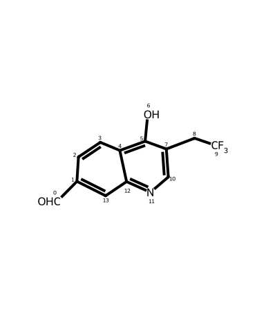 O=Cc1ccc2c(O)c(CC(F)(F)F)cnc2c1